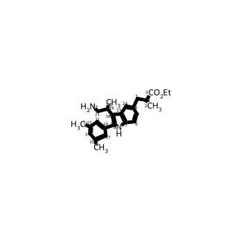 CCOC(=O)C(C)Cc1ccc2[nH]c(-c3cc(C)cc(C)c3)c(C(C)CN)c2c1